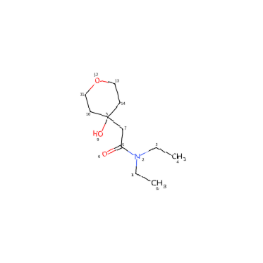 CCN(CC)C(=O)CC1(O)CCOCC1